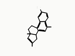 CC(=O)OC1=CC2(C)CCc3c(cc(Br)c4ccc(O)cc34)C2C1